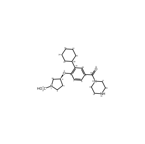 O=C(O)N1CC[C@H](Oc2ccc(C(=O)N3CCNCC3)cc2C2CCCCC2)C1